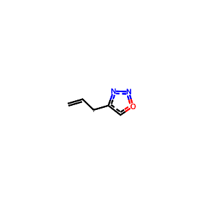 C=C[CH]c1conn1